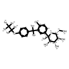 [2H]C([2H])(c1ccc(OC([2H])([2H])C([2H])([2H])[2H])cc1)c1cc([C@]2([2H])O[C@H](CO)[C@@H](O)[C@H](O)[C@H]2O)ccc1Cl